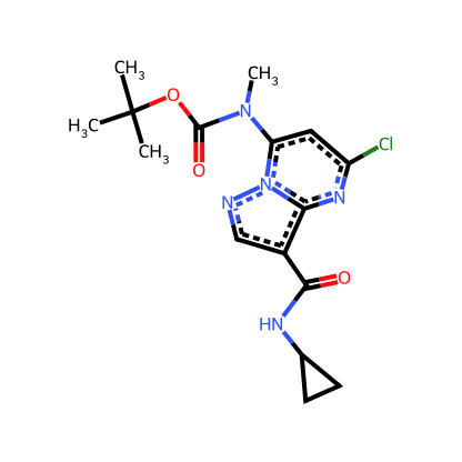 CN(C(=O)OC(C)(C)C)c1cc(Cl)nc2c(C(=O)NC3CC3)cnn12